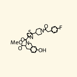 COC(=O)C1Cc2ccc(O)cc2CN1C(=O)c1csc(C2CCN(C(=O)Cc3ccc(F)cc3)CC2)n1